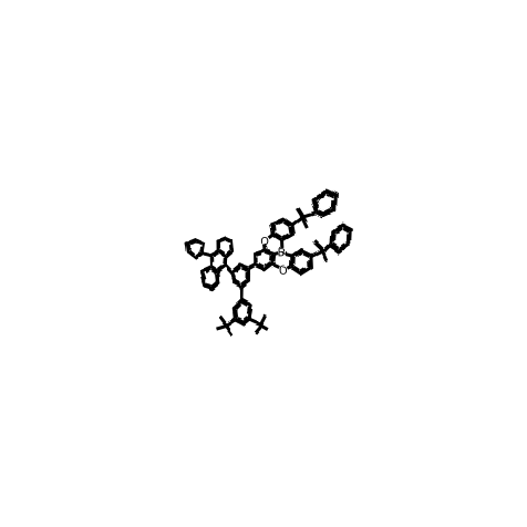 CC(C)(C)c1cc(-c2cc(-c3cc4c5c(c3)Oc3ccc(C(C)(C)c6ccccc6)cc3B5c3cc(C(C)(C)c5ccccc5)ccc3O4)cc(-c3c4ccccc4c(-c4ccccc4)c4ccccc34)c2)cc(C(C)(C)C)c1